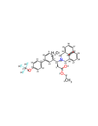 CCOC(=O)C[C@@H](c1cccc(-c2ccc(OC(F)(F)F)cc2)c1)N(Cc1ccccc1)[C@H](C)c1ccccc1